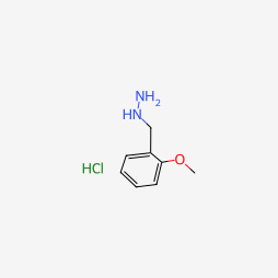 COc1ccccc1CNN.Cl